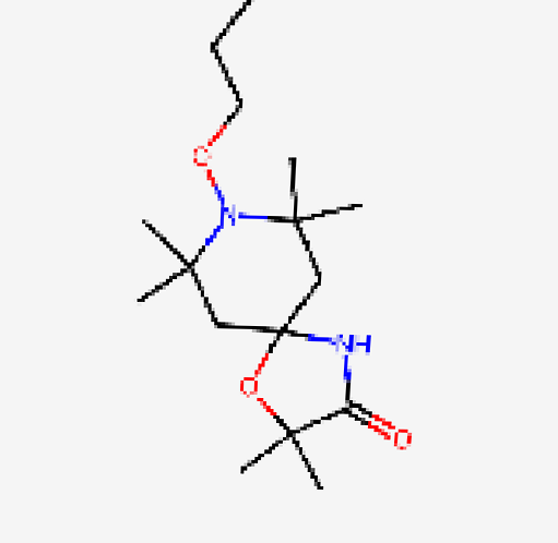 CCCON1C(C)(C)CC2(CC1(C)C)NC(=O)C(C)(C)O2